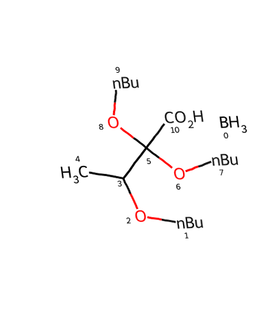 B.CCCCOC(C)C(OCCCC)(OCCCC)C(=O)O